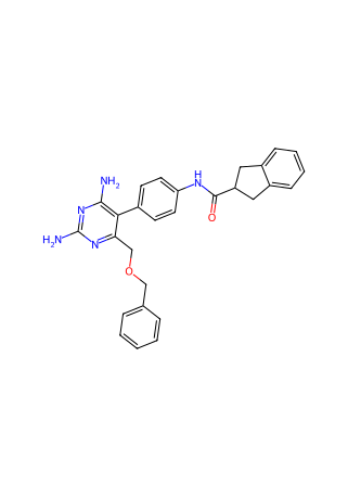 Nc1nc(N)c(-c2ccc(NC(=O)C3Cc4ccccc4C3)cc2)c(COCc2ccccc2)n1